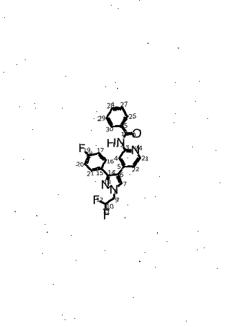 O=C(Nc1cc(-c2cn(CC(F)F)nc2-c2ccc(F)cc2)ccn1)c1ccccc1